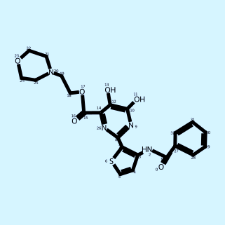 O=C(Nc1ccsc1-c1nc(O)c(O)c(C(=O)OCCN2CCOCC2)n1)c1ccccc1